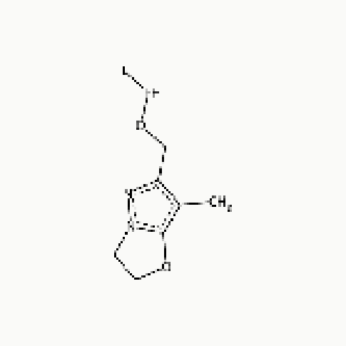 Cc1c(COPI)nn2c1OCC2